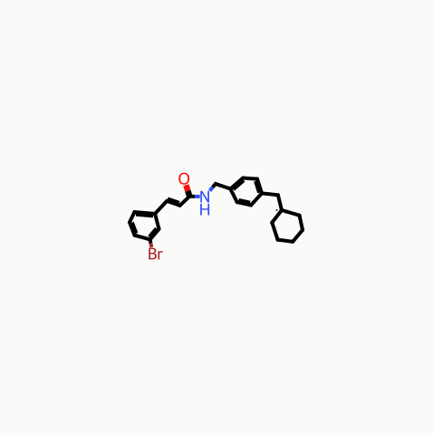 O=C(/C=C/c1cccc(Br)c1)NCc1ccc(C[C]2CCCCC2)cc1